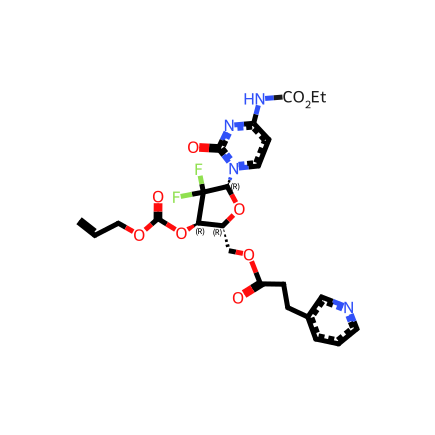 C=CCOC(=O)O[C@@H]1[C@@H](COC(=O)CCc2cccnc2)O[C@@H](n2ccc(NC(=O)OCC)nc2=O)C1(F)F